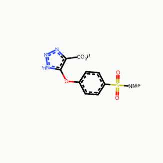 CNS(=O)(=O)c1ccc(Oc2[nH]nnc2C(=O)O)cc1